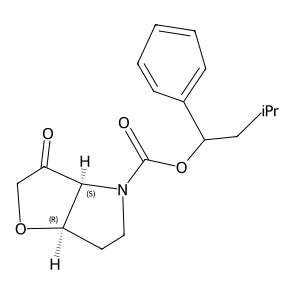 CC(C)CC(OC(=O)N1CC[C@H]2OCC(=O)[C@H]21)c1ccccc1